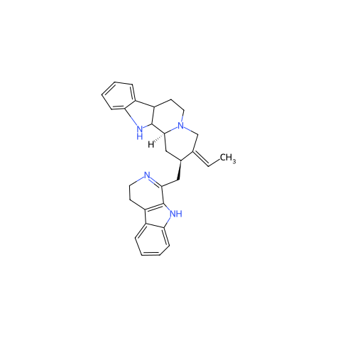 C/C=C1\CN2CCC3c4ccccc4NC3[C@@H]2C[C@@H]1CC1=NCCc2c1[nH]c1ccccc21